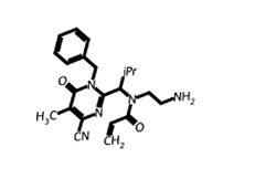 C=CC(=O)N(CCN)C(c1nc(C#N)c(C)c(=O)n1Cc1ccccc1)C(C)C